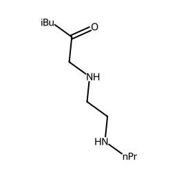 CCCNCCNCC(=O)C(C)CC